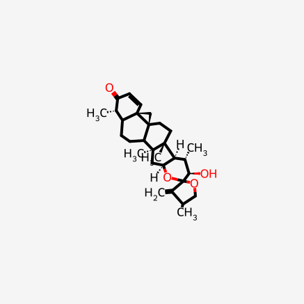 C=C1C(C)COC12O[C@H]1C[C@@]3(C)C4CCC5[C@H](C)C(=O)C=C[C@@]56C[C@@]46CC[C@]3(C)[C@H]1[C@H](C)[C@H]2O